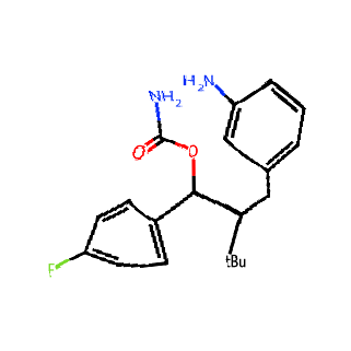 CC(C)(C)C(Cc1cccc(N)c1)C(OC(N)=O)c1ccc(F)cc1